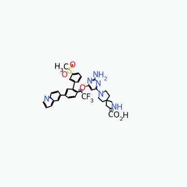 CS(=O)(=O)c1cccc(-c2cc(-c3ccc4ncccc4c3)ccc2[C@@H](Oc2cc(N3CCC4(CC3)CN[C@H](C(=O)O)C4)nc(N)n2)C(F)(F)F)c1